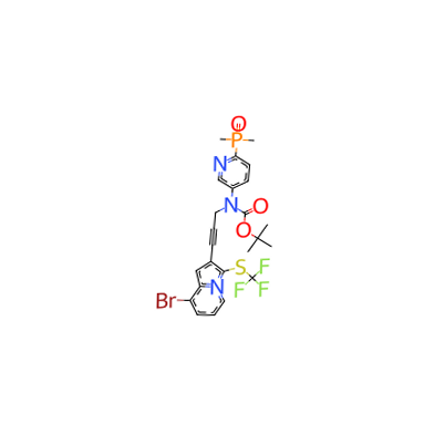 CC(C)(C)OC(=O)N(CC#Cc1cc2c(Br)cccn2c1SC(F)(F)F)c1ccc(P(C)(C)=O)nc1